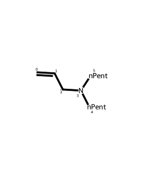 C=C[CH]N(CCCCC)CCCCC